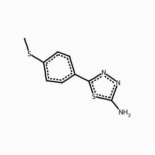 CSc1ccc(-c2nnc(N)s2)cc1